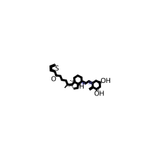 C=C1/C(=C\C=C2/CCC[C@]3(C)[C@@H]([C@@H](C)CCCC(=O)c4cccs4)CC[C@@H]23)C[C@@H](O)C[C@@H]1O